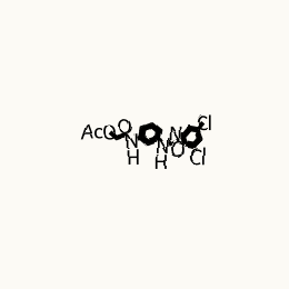 CC(=O)OCC(=O)Nc1cccc(Nc2nc3cc(Cl)cc(Cl)c3o2)c1